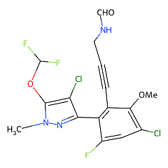 COc1c(Cl)cc(F)c(-c2nn(C)c(OC(F)F)c2Cl)c1C#CCNC=O